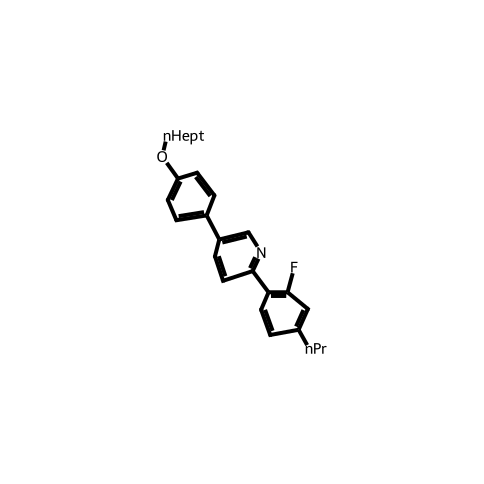 CCCCCCCOc1ccc(-c2ccc(-c3ccc(CCC)cc3F)nc2)cc1